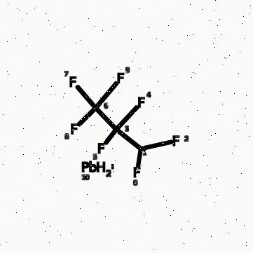 FC(F)C(F)(F)C(F)(F)F.[PbH2]